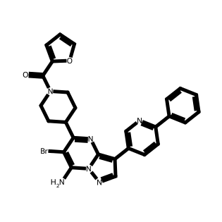 Nc1c(Br)c(C2CCN(C(=O)c3ccco3)CC2)nc2c(-c3ccc(-c4ccccc4)nc3)cnn12